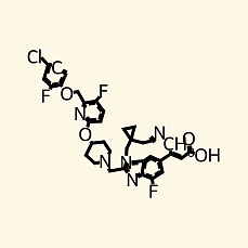 C/C(=C\C(=O)O)c1cc(F)c2nc(CN3CCC(Oc4ccc(F)c(COc5ccc(Cl)cc5F)n4)CC3)n(CC3(CC#N)CC3)c2c1